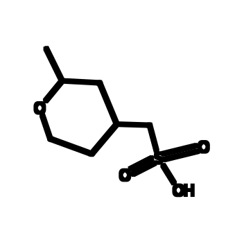 CC1CC(CS(=O)(=O)O)CCO1